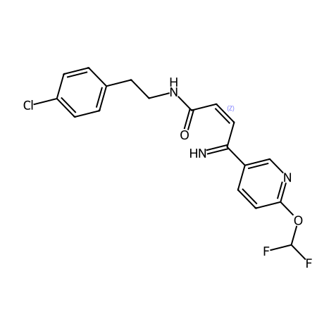 N=C(/C=C\C(=O)NCCc1ccc(Cl)cc1)c1ccc(OC(F)F)nc1